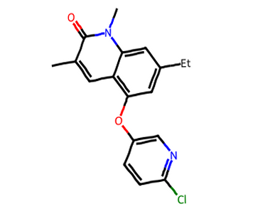 CCc1cc(Oc2ccc(Cl)nc2)c2cc(C)c(=O)n(C)c2c1